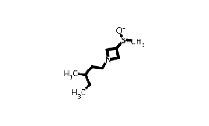 CCC(C)CCN1CC([S+](C)[O-])C1